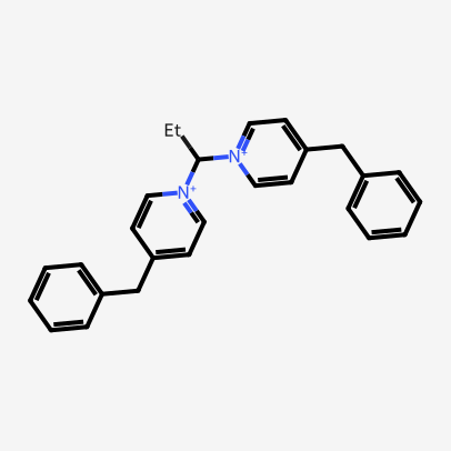 CCC([n+]1ccc(Cc2ccccc2)cc1)[n+]1ccc(Cc2ccccc2)cc1